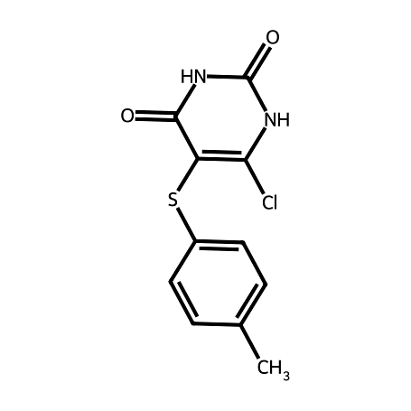 Cc1ccc(Sc2c(Cl)[nH]c(=O)[nH]c2=O)cc1